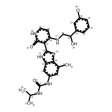 Cc1cc(NC(=O)NC(C)C)cc2[nH]c(-c3c(NCC(O)c4cccc(Cl)c4)cc[nH]c3=O)nc12